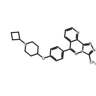 Cc1nnc2c3ncccc3c(-c3ccc(OC4CCN(C5CCC5)CC4)cc3)nn12